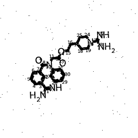 N=C(N)c1cccc(C(=O)N(CC(=O)OCCC2CCN(C(=N)N)CC2)c2ccccc2)c1